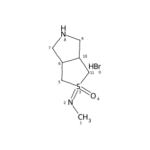 Br.CN=S1(=O)CC2CNCC2C1